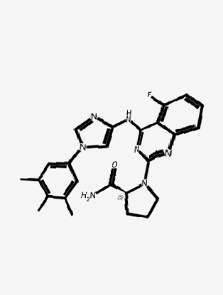 Cc1cc(-n2cnc(Nc3nc(N4CCC[C@H]4C(N)=O)nc4cccc(F)c34)c2)cc(C)c1C